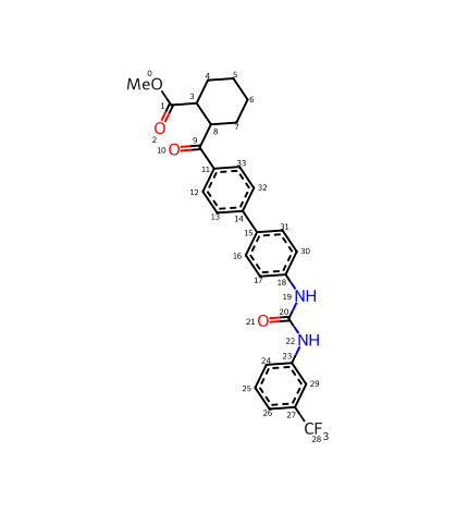 COC(=O)C1CCCCC1C(=O)c1ccc(-c2ccc(NC(=O)Nc3cccc(C(F)(F)F)c3)cc2)cc1